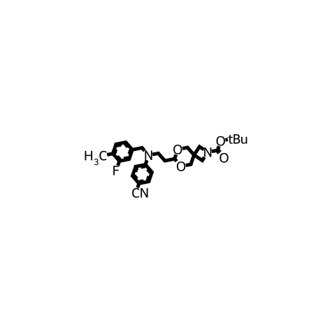 Cc1ccc(CN(CCC2OCC3(CO2)CN(C(=O)OC(C)(C)C)C3)c2ccc(C#N)cc2)cc1F